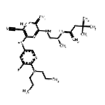 C=C(CC(C)(C)C)N[C@@H](C)CN/C(=N/C(Nc1cnc(N(CCC)CCC)c(F)c1)=C(\C)C#N)C(=C)F